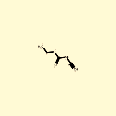 C#CNC(=O)OCC